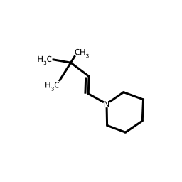 CC(C)(C)C=CN1CCCCC1